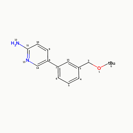 CC(C)(C)OCc1cccc(-c2ccc(N)nc2)c1